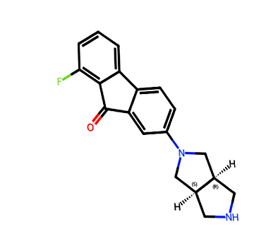 O=C1c2cc(N3C[C@H]4CNC[C@H]4C3)ccc2-c2cccc(F)c21